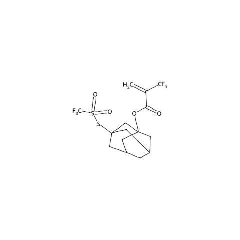 C=C(C(=O)OC12CC3CC(C1)CC(SS(=O)(=O)C(F)(F)F)(C3)C2)C(F)(F)F